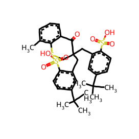 Cc1cccc2c1SCC(Cc1cc(C(C)(C)C)ccc1S(=O)(=O)O)(Cc1cc(C(C)(C)C)ccc1S(=O)(=O)O)C2=O